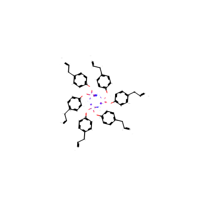 C=CCc1ccc(OP2(Oc3ccc(CC=C)cc3)=NP(Oc3ccc(CC=C)cc3)(Oc3ccc(CC=C)cc3)=NP(Oc3ccc(CC=C)cc3)(Oc3ccc(CC=C)cc3)=N2)cc1